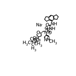 Cn1cc(N(C[C@H]2C[C@H](O[Si](C)(C)C(C)(C)C)CO2)S(=O)(=O)NC(=O)Nc2c3c(cc4c2CCC4)CCC3)cn1.[Na]